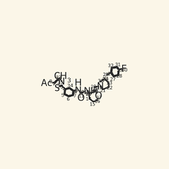 CC(=O)c1sc(-c2cccc(NC(=O)N[C@@H]3CCCO[C@@H]3CN3CCC[C@@H](Cc4ccc(F)cc4)C3)c2)nc1C